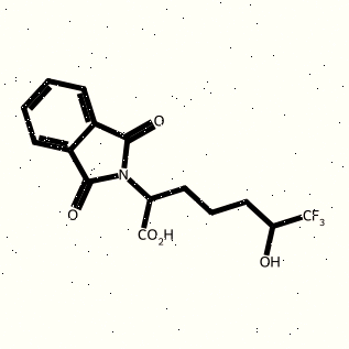 O=C(O)C(CCCC(O)C(F)(F)F)N1C(=O)c2ccccc2C1=O